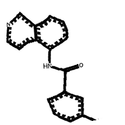 Nc1cccc(C(=O)Nc2cccc3cnccc23)c1